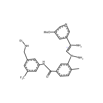 CCNCc1cc(NC(=O)c2ccc(C)c(N(N)/C=C(\N)c3cncc(OC)c3)c2)cc(C(F)(F)F)c1